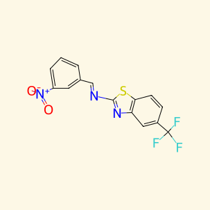 O=[N+]([O-])c1cccc(C=Nc2nc3cc(C(F)(F)F)ccc3s2)c1